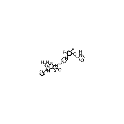 Nc1nc2c(sc(=O)n2CCN2CCN(c3cc(OC[C@@H]4COCCN4)c(F)cc3F)CC2)c2nc(-c3ccco3)nn12